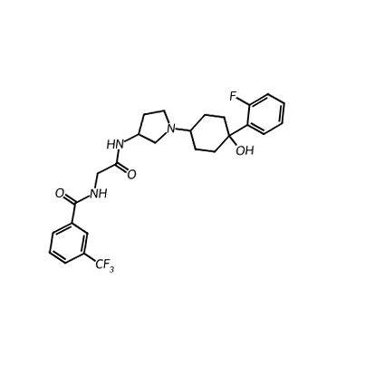 O=C(CNC(=O)c1cccc(C(F)(F)F)c1)NC1CCN(C2CCC(O)(c3ccccc3F)CC2)C1